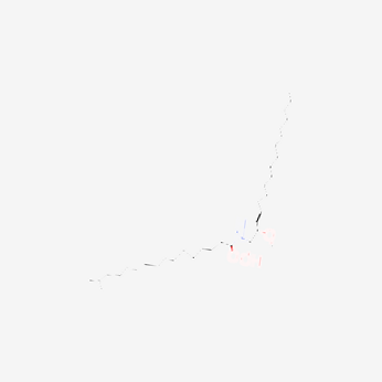 CCCCCCCCCCCCC/C=C/[C@@H](OC)[C@H](CO)NC(=O)CCCCCCCCCCCCCC(C)C